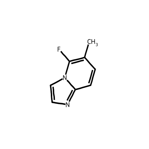 Cc1ccc2nccn2c1F